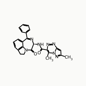 Cc1cc2nnc(C(=O)N[C@@H]3N=C(c4ccccc4)c4cccc5c4N(CC5)C3=O)c(C)n2n1